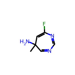 CC1(N)C=NC=NC(F)=C1